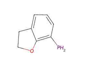 Pc1cccc2c1OCC2